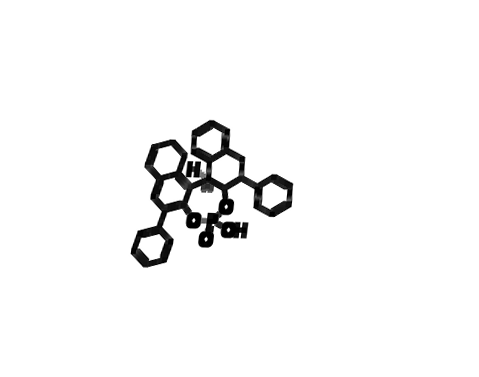 O=P1(O)Oc2c(-c3ccccc3)cc3c(c2[C@H]2c4ccccc4CC(c4ccccc4)C2O1)CCC=C3